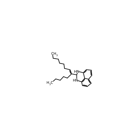 CCCCCC/C=C(\CCCCC)C1Nc2cccc3cccc(c23)N1